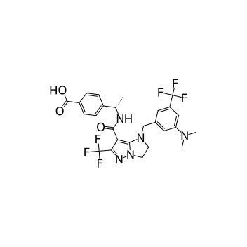 C[C@H](NC(=O)c1c(C(F)(F)F)nn2c1N(Cc1cc(N(C)C)cc(C(F)(F)F)c1)CC2)c1ccc(C(=O)O)cc1